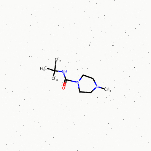 CN1CCN(C(=O)NC(C)(C(F)(F)F)C(F)(F)F)CC1